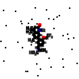 CCN1C(=O)CC(C)(C)c2cc(C)c(-c3cc(/C=C(\C)C(=O)O)ccc3OCC(F)(F)F)cc21